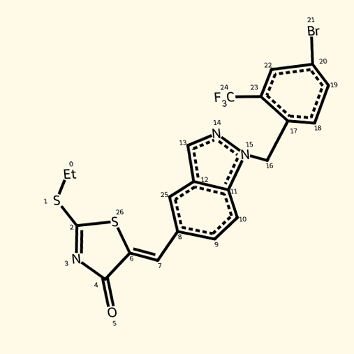 CCSC1=NC(=O)C(=Cc2ccc3c(cnn3Cc3ccc(Br)cc3C(F)(F)F)c2)S1